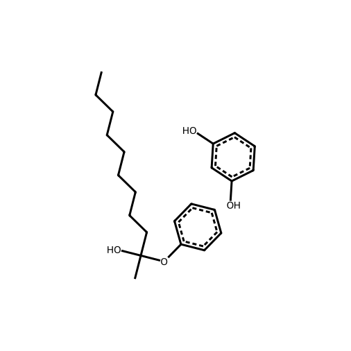 CCCCCCCCCC(C)(O)Oc1ccccc1.Oc1cccc(O)c1